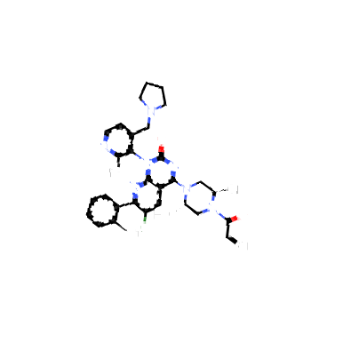 C=CC(=O)N1C[C@H](C)N(c2nc(=O)n(-c3c(CN4CCCC4)ccnc3C(C)C)c3nc(-c4ccccc4C(C)C)c(Cl)cc23)C[C@H]1C